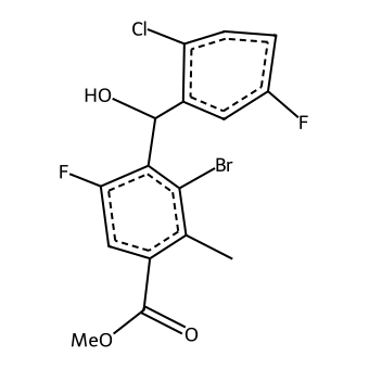 COC(=O)c1cc(F)c(C(O)c2cc(F)ccc2Cl)c(Br)c1C